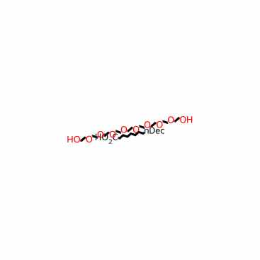 CCCCCCCCCCCCCCCCCC(=O)O.OCCOCCOCCOCCOCCOCCOCCOCCOCCO